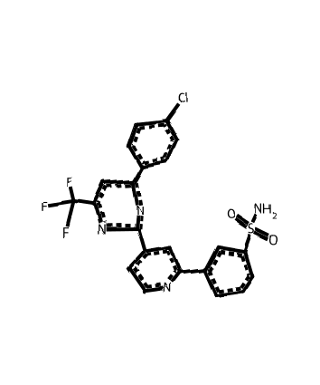 NS(=O)(=O)c1cccc(-c2cc(-c3nc(-c4ccc(Cl)cc4)cc(C(F)(F)F)n3)ccn2)c1